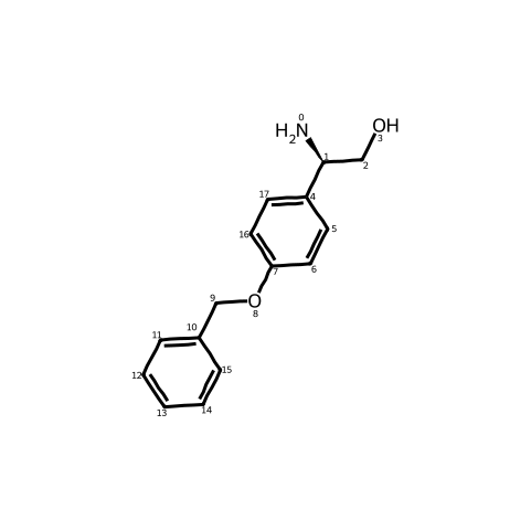 N[C@@H](CO)c1ccc(OCc2ccccc2)cc1